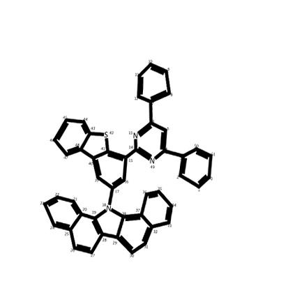 c1ccc(-c2cc(-c3ccccc3)nc(-c3cc(-n4c5c6ccccc6ccc5c5ccc6ccccc6c54)cc4c3sc3ccccc34)n2)cc1